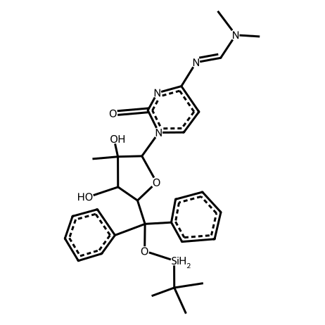 CN(C)C=Nc1ccn(C2OC(C(O[SiH2]C(C)(C)C)(c3ccccc3)c3ccccc3)C(O)C2(C)O)c(=O)n1